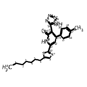 CCCCCCCc1cnc(-c2cc(-c3ccc(C)cc3)c(-c3nnn[nH]3)c(=O)[nH]2)s1